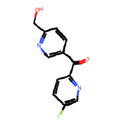 O=C(c1ccc(CO)nc1)c1ccc(F)cn1